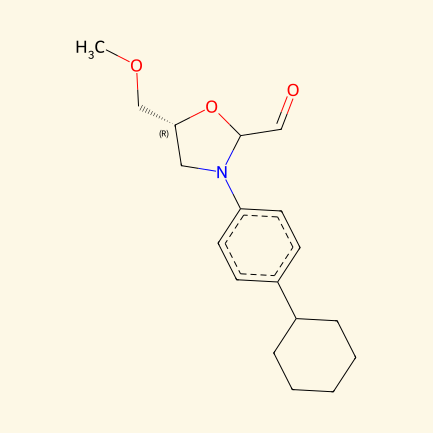 COC[C@H]1CN(c2ccc(C3CCCCC3)cc2)C(C=O)O1